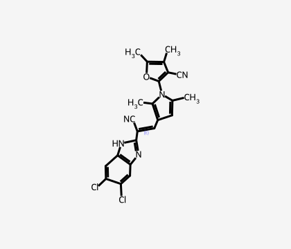 Cc1oc(-n2c(C)cc(/C=C(\C#N)c3nc4cc(Cl)c(Cl)cc4[nH]3)c2C)c(C#N)c1C